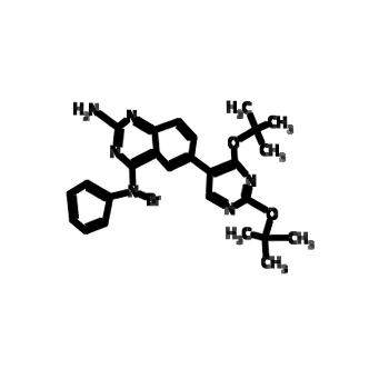 CC(C)(C)Oc1ncc(-c2ccc3nc(N)nc(N(Br)c4ccccc4)c3c2)c(OC(C)(C)C)n1